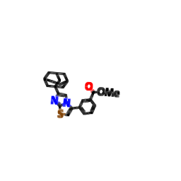 COC(=O)c1cccc(-c2csc3nc(C45CC6CC(CC(C6)C4)C5)cn23)c1